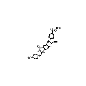 C#CCN(Cc1cc2c(=O)n(C)c(CN3CCC(O)CC3)nc2cc1Cl)c1ccc(C(=O)OC(C)(C)C)cc1